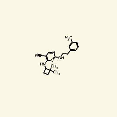 Cc1cccc(CCNc2ncc(C#N)c(NC3CCC3(C)C)n2)c1